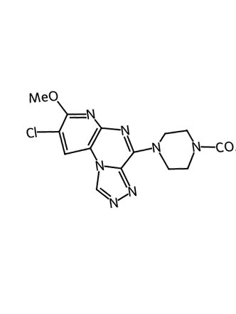 COc1nc2nc(N3CCN(C(=O)O)CC3)c3nncn3c2cc1Cl